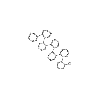 Clc1ccccc1-c1ccccc1-c1ccccc1-c1ccccc1-c1ccccc1-c1ccccc1-c1ccccc1